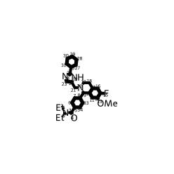 CCN(CC)C(=O)c1ccc(C2c3cc(OC)c(F)cc3CCN2Cc2cnc(-c3ccccc3)[nH]2)cc1